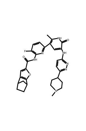 Cc1[nH]c(=O)c(Nc2ccc(C3CCN(C)CC3)nn2)cc1-c1ccc(F)c(NC(=O)c2cc3c(s2)C2CCC3C2)n1